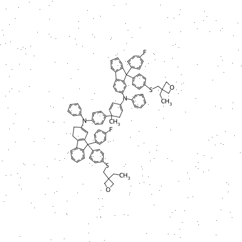 CCC1(CSc2ccc(C3(c4ccc(F)cc4)C4=C(CCC(N(c5ccccc5)c5ccc(C6(C)C=CC(N(c7ccccc7)c7ccc8c(c7)C(c7ccc(F)cc7)(c7ccc(SCC9(CC)COC9)cc7)c7ccccc7-8)=CC6)cc5)=C4)c4ccccc43)cc2)COC1